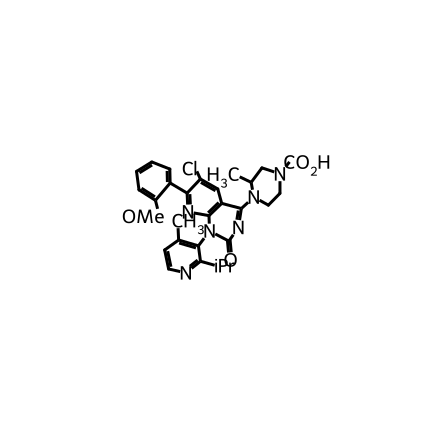 COc1ccccc1-c1nc2c(cc1Cl)c(N1CCN(C(=O)O)CC1C)nc(=O)n2-c1c(C)ccnc1C(C)C